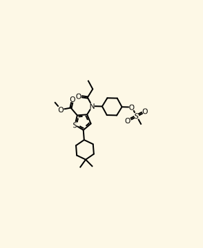 CCC(=O)N(c1cc(C2CCC(C)(C)CC2)sc1C(=O)OC)C1CCC(OS(C)(=O)=O)CC1